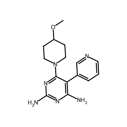 COC1CCN(c2nc(N)nc(N)c2-c2cccnc2)CC1